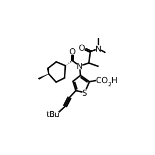 CC(C(=O)N(C)C)N(c1cc(C#CC(C)(C)C)sc1C(=O)O)C(=O)[C@H]1CC[C@H](C)CC1